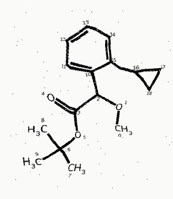 COC(C(=O)OC(C)(C)C)c1ccccc1C1CC1